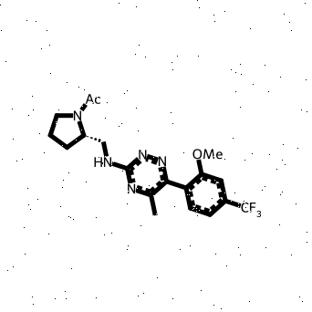 COc1cc(C(F)(F)F)ccc1-c1nnc(NC[C@@H]2CCCN2C(C)=O)nc1C